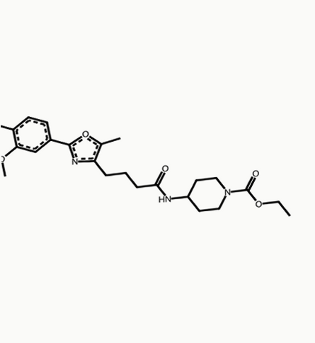 CCOC(=O)N1CCC(NC(=O)CCCc2nc(-c3ccc(OC)c(OC)c3)oc2C)CC1